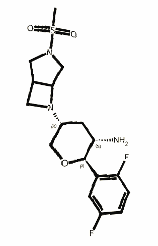 CS(=O)(=O)N1CC2CN([C@H]3CO[C@H](c4cc(F)ccc4F)[C@@H](N)C3)C2C1